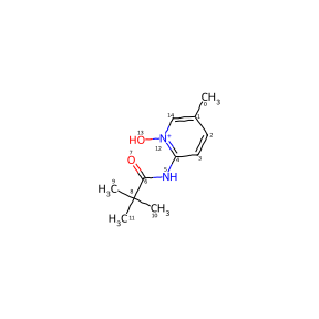 Cc1ccc(NC(=O)C(C)(C)C)[n+](O)c1